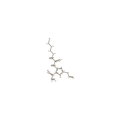 C=CCc1cc(NC(=O)NCCCCC)c(C(N)=O)s1